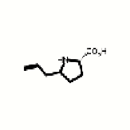 C=CCC1CC[C@@H](C(=O)O)N1